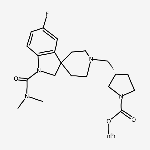 CCCOC(=O)N1CC[C@@H](CN2CCC3(CC2)CN(C(=O)N(C)C)c2ccc(F)cc23)C1